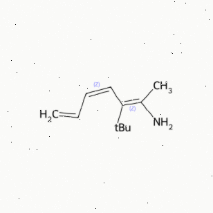 C=C/C=C\C(=C(/C)N)C(C)(C)C